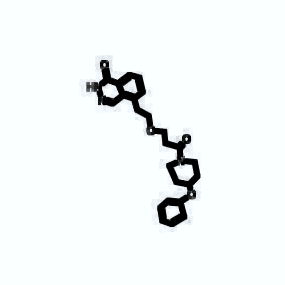 O=C(CCOCCc1cccc2c(=O)[nH]ncc12)N1CCC(Oc2ccccc2)CC1